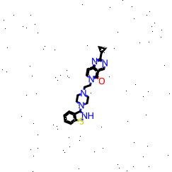 O=c1c2cnc(C3CC3)nc2ccn1CCN1CCN(C2NSc3ccccc32)CC1